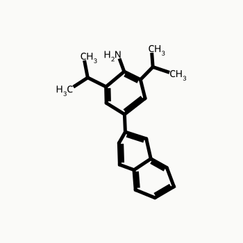 CC(C)c1cc(-c2ccc3ccccc3c2)cc(C(C)C)c1N